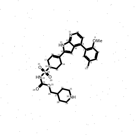 COc1ccc(F)cc1-c1ccnc2[nH]c(C3=CCN(S(=O)(=O)NC(=O)OCC4CCNCC4)CC3)cc12